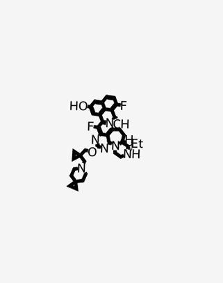 C#Cc1c(F)ccc2cc(O)cc(-c3nc4c5c(nc(OCC6(CN7CCC8(CC7)CC8)CC6)nc5c3F)N3CCN[C@@H](CC)[C@H]3CC4)c12